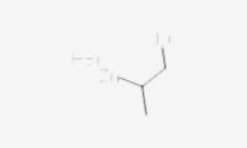 Br.CCC[CH](C)[Zn]